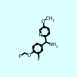 COc1ccc(C(N)c2ccc(OCF)c(F)c2)nc1